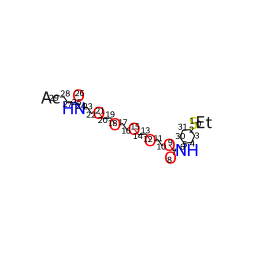 CCSC1CCC(NC(=O)OCCOCCOCCOCCOCCNC(=O)CCC(C)=O)CC1